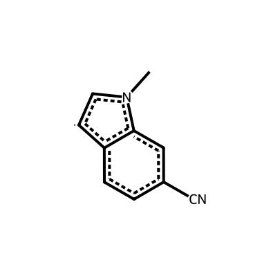 Cn1c[c]c2ccc(C#N)cc21